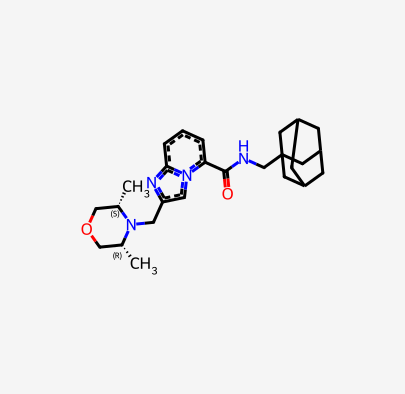 C[C@@H]1COC[C@H](C)N1Cc1cn2c(C(=O)NCC34CC5CC(CC(C5)C3)C4)cccc2n1